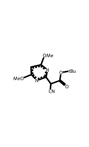 COc1cc(OC)nc(C(C#N)C(=O)OC(C)(C)C)n1